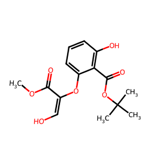 COC(=O)C(=CO)Oc1cccc(O)c1C(=O)OC(C)(C)C